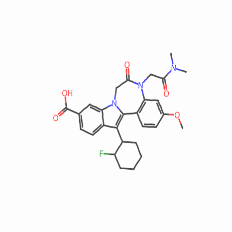 COc1ccc2c(c1)N(CC(=O)N(C)C)C(=O)Cn1c-2c(C2CCCCC2F)c2ccc(C(=O)O)cc21